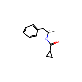 C[C@@H](Cc1ccccc1)NC(=O)C1CC1